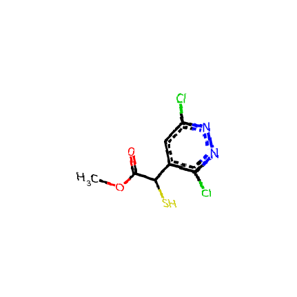 COC(=O)C(S)c1cc(Cl)nnc1Cl